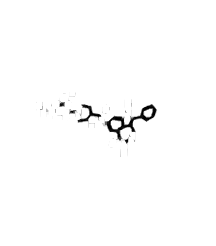 CC(C)(C)OC(=O)N1CCC(C(=O)Nc2cc3c4c(c(-c5ccccc5)[nH]c4c2)C=NNC3=O)CC1